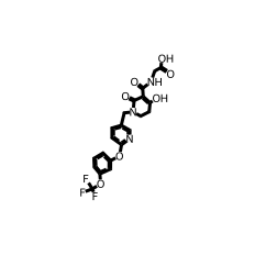 O=C(O)CNC(=O)C1=C(O)CCN(Cc2ccc(Oc3cccc(OC(F)(F)F)c3)nc2)C1=O